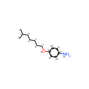 C[C](C)CCCCCOc1ccc(N)cc1